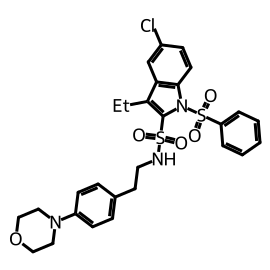 CCc1c(S(=O)(=O)NCCc2ccc(N3CCOCC3)cc2)n(S(=O)(=O)c2ccccc2)c2ccc(Cl)cc12